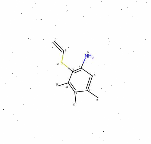 C=CSc1c(N)cc(C)c(C)c1C